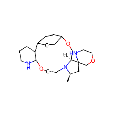 C[C@@H]1C[C@@]2(COCCN2)[C@@H]2COC3CCC(CC3)C3CCCNC3OCCN12